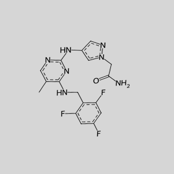 Cc1cnc(Nc2cnn(CC(N)=O)c2)nc1NCc1c(F)cc(F)cc1F